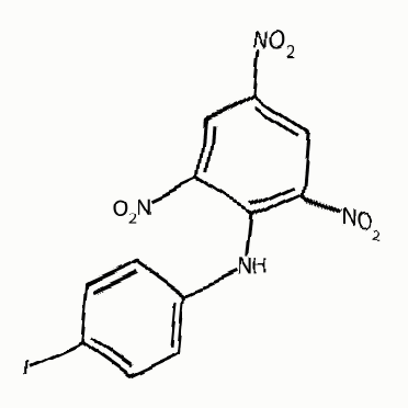 O=[N+]([O-])c1cc([N+](=O)[O-])c(Nc2ccc(I)cc2)c([N+](=O)[O-])c1